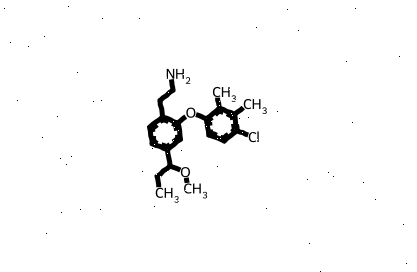 CCC(OC)c1ccc(CCN)c(Oc2ccc(Cl)c(C)c2C)c1